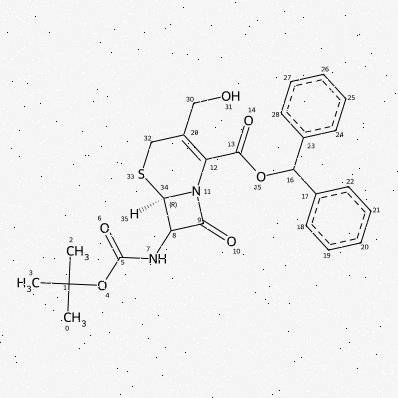 CC(C)(C)OC(=O)NC1C(=O)N2C(C(=O)OC(c3ccccc3)c3ccccc3)=C(CO)CS[C@H]12